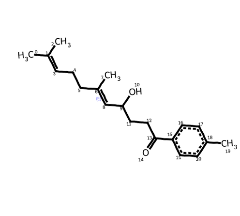 CC(C)=CCC/C(C)=C/C(O)CCC(=O)c1ccc(C)cc1